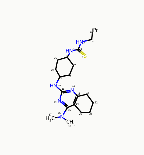 CC(C)CNC(=S)NC1CCC(Nc2nc3c(c(N(C)C)n2)CCCC3)CC1